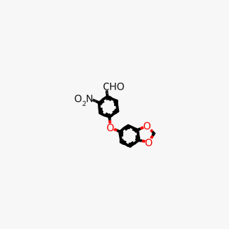 O=Cc1ccc(Oc2ccc3c(c2)OCO3)cc1[N+](=O)[O-]